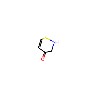 O=C1C=CSNC1